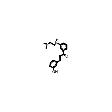 CN(C)CCN(C)c1cccc(C(=O)C=Cc2cccc(O)c2)c1